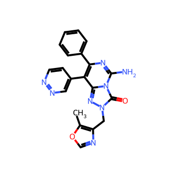 Cc1ocnc1Cn1nc2c(-c3ccnnc3)c(-c3ccccc3)nc(N)n2c1=O